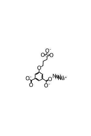 O=C([O-])c1cc(OCCCS(=O)(=O)[O-])cc(C(=O)[O-])c1.[Na+].[Na+].[Na+]